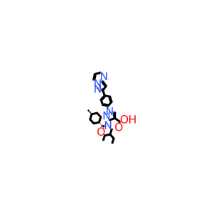 CCC(CC)CN(c1nn(-c2ccc(-c3cc4ncccn4n3)cc2)cc1C(=O)O)C(=O)[C@H]1CC[C@H](C)CC1